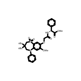 CCCCC1(CCCC)CN(c2ccccc2)c2cc(OC)c(OCC(=O)N[C@@H](C(=O)OC)c3ccccc3)cc2S(=O)(=O)C1